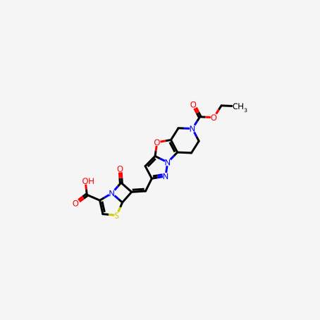 CCOC(=O)N1CCc2c(oc3cc(C=C4C(=O)N5C(C(=O)O)=CSC45)nn23)C1